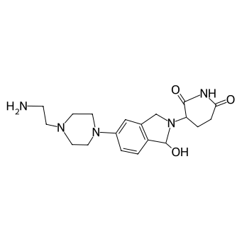 NCCN1CCN(c2ccc3c(c2)CN(C2CCC(=O)NC2=O)C3O)CC1